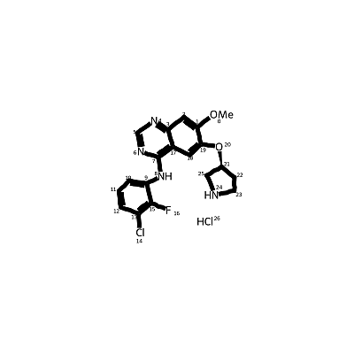 COc1cc2ncnc(Nc3cccc(Cl)c3F)c2cc1O[C@H]1CCNC1.Cl